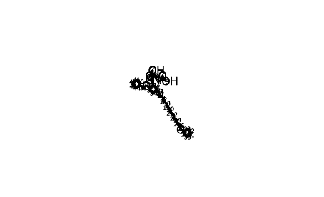 O=C(O)CN(CC(=O)O)C(=O)c1cc(OCCCCCCCCCCCCOc2ccccc2)ccc1OCc1ccccc1